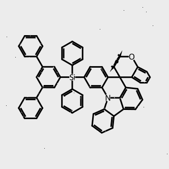 c1ccc(-c2cc(-c3ccccc3)cc([Si](c3ccccc3)(c3ccccc3)c3ccc4c(c3)-n3c5ccccc5c5cccc(c53)C43c4ccccc4Oc4ccccc43)c2)cc1